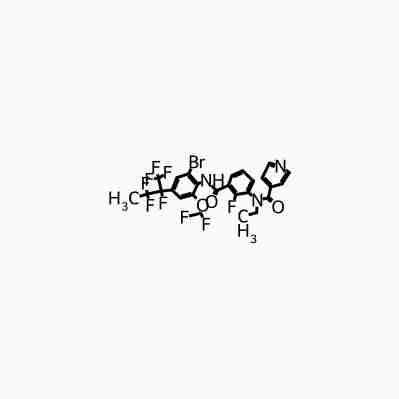 CCN(C(=O)c1ccncc1)c1cccc(C(=O)Nc2c(Br)cc(C(F)(C(C)(F)F)C(F)(F)F)cc2OC(F)F)c1F